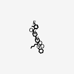 CCCCC1N(CC2CCCCC2)C(=O)OC12CCN(C1CCN(C(=O)c3cccc(F)c3C)CC1)CC2